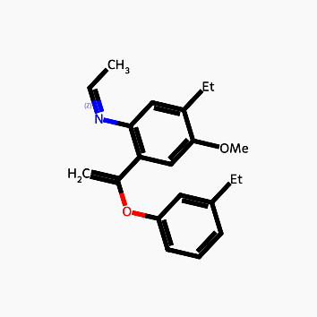 C=C(Oc1cccc(CC)c1)c1cc(OC)c(CC)cc1/N=C\C